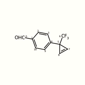 O=Cc1ccc(C2(C(F)(F)F)C=C2)cc1